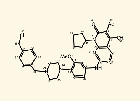 COc1cc(Nc2ncc3c(C)c(C(C)=O)c(=O)n(C4CCCC4)c3n2)ccc1N1CCN(Cc2ccc(CCl)cc2)CC1